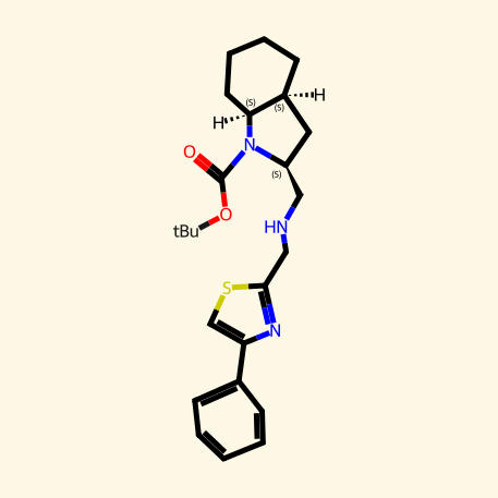 CC(C)(C)OC(=O)N1[C@H](CNCc2nc(-c3ccccc3)cs2)C[C@@H]2CCCC[C@@H]21